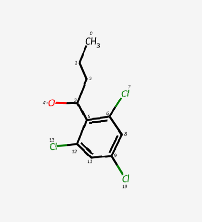 CCCC([O])c1c(Cl)cc(Cl)cc1Cl